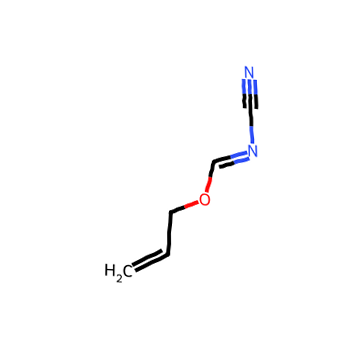 C=CCO/C=N/C#N